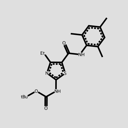 CCc1nc(NC(=O)OC(C)(C)C)sc1C(=O)Nc1c(C)cc(C)cc1C